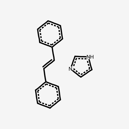 C(=Cc1ccccc1)c1ccccc1.c1c[nH]cn1